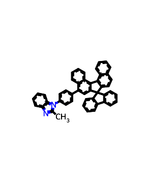 Cc1nc2ccccc2n1-c1ccc(-c2cc3c(c4ccccc24)-c2c(ccc4ccccc24)C32c3ccccc3-c3ccccc32)cc1